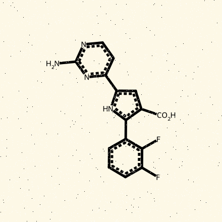 Nc1nccc(-c2cc(C(=O)O)c(-c3cccc(F)c3F)[nH]2)n1